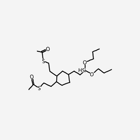 CCCO[SiH](CCC1CCC(CCSC(C)=O)C(CCSC(C)=O)C1)OCCC